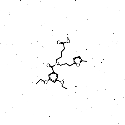 CCOc1cc(OCC)cc(C(=O)N(CCCCC(=O)OC)CCCc2ccc(C)o2)c1